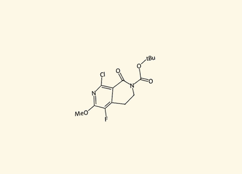 COc1nc(Cl)c2c(c1F)CCN(C(=O)OC(C)(C)C)C2=O